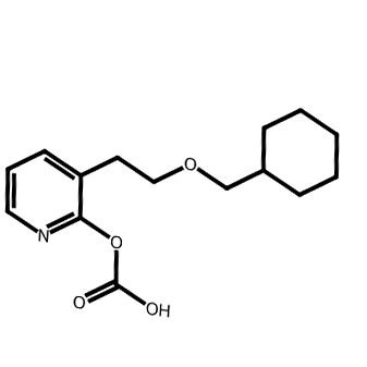 O=C(O)Oc1ncccc1CCOCC1CCCCC1